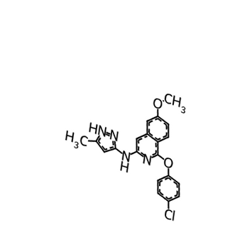 COc1ccc2c(Oc3ccc(Cl)cc3)nc(Nc3cc(C)[nH]n3)cc2c1